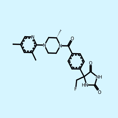 Cc1cnc(N2CCN(C(=O)c3ccc(C4(CF)NC(=O)NC4=O)cc3)[C@@H](C)C2)c(C)c1